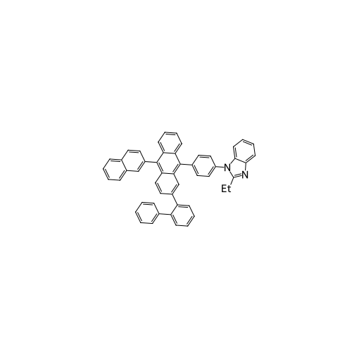 CCc1nc2ccccc2n1-c1ccc(-c2c3ccccc3c(-c3ccc4ccccc4c3)c3ccc(-c4ccccc4-c4ccccc4)cc23)cc1